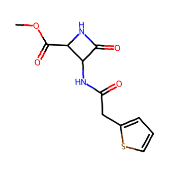 COC(=O)C1NC(=O)C1NC(=O)Cc1cccs1